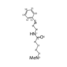 CNCCCCC(=O)NCCSc1ccccc1